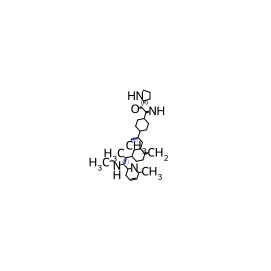 C=C1CCC(/C(C)=C(/NCC)C2CC=CC(C)=N2)CC1C/C(=C\C)C1CCC(C(=N)C(=O)[C@H]2CCCN2)CC1